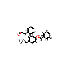 C=Cc1ccccc1.O=CCc1ccccc1.O=Cc1ccccc1